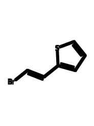 BrC=Cc1cccs1